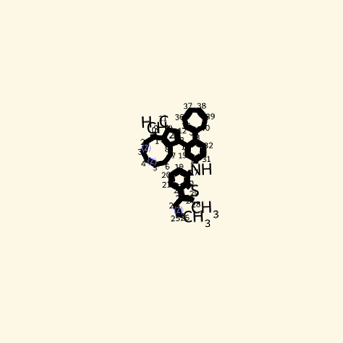 C=C1/C=C\C=C/CCC2=C1C(C)C=C2c1cc(Nc2cccc3c(/C=C\C)c(C)sc23)ccc1C1=CC=CC=CC1